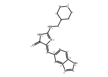 O=C1NC(NCC2CCOCC2)=N/C1=C\c1ccc2[nH]cnc2c1